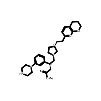 COC(=O)C[C@H](CN1CC[C@@H](CCc2ccc3c(n2)NCCC3)C1)c1cccc(N2CCNCC2)c1